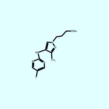 COCCCn1cc(Nc2ncc(I)cn2)c(C)n1